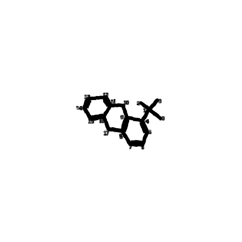 CC(C)(C)c1cccc2c1Cc1ccccc1C2